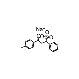 Cc1ccc(C(=O)CC(c2ccccc2)S(=O)(=O)[O-])cc1.[Na+]